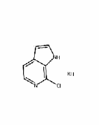 Clc1nccc2[c]c[nH]c12.[KH]